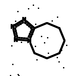 C1CCCn2nnnc2CC1